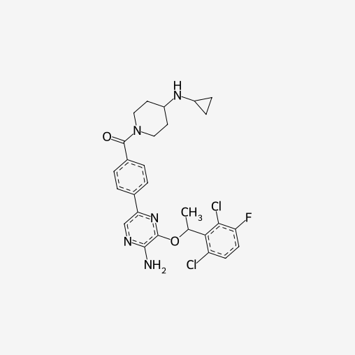 CC(Oc1nc(-c2ccc(C(=O)N3CCC(NC4CC4)CC3)cc2)cnc1N)c1c(Cl)ccc(F)c1Cl